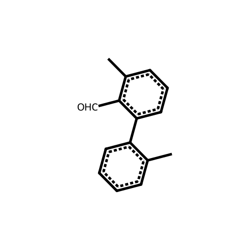 Cc1ccccc1-c1cccc(C)c1C=O